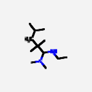 CCNC(N(C)C)C(C)(C)[SiH2]C(C)C